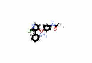 CC(=O)Nc1ccc(Oc2ccnc(Cl)c2-c2ccccc2N)cc1